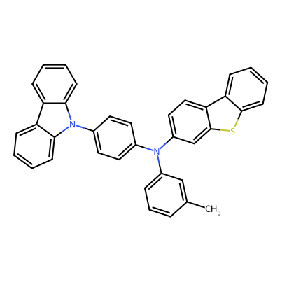 Cc1cccc(N(c2ccc(-n3c4ccccc4c4ccccc43)cc2)c2ccc3c(c2)sc2ccccc23)c1